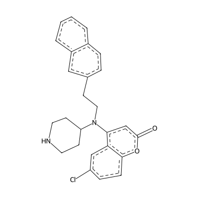 O=c1cc(N(CCc2ccc3ccccc3c2)C2CCNCC2)c2cc(Cl)ccc2o1